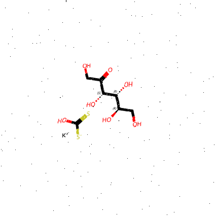 O=C(CO)[C@@H](O)[C@H](O)[C@H](O)CO.OC(=S)[S-].[K+]